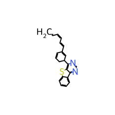 C=C/C=C\C=C\C1=CC(c2ncnc3c2sc2ccccc23)CC=C1